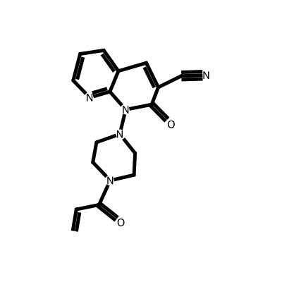 C=CC(=O)N1CCN(n2c(=O)c(C#N)cc3cccnc32)CC1